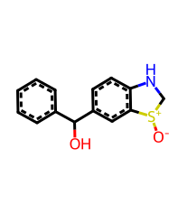 [O-][S+]1CNc2ccc(C(O)c3ccccc3)cc21